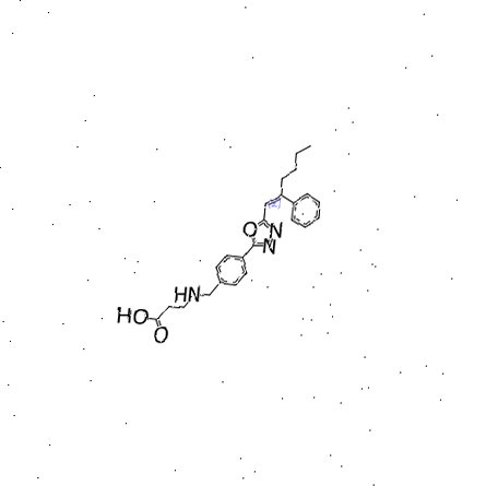 CCCC/C(=C/c1nnc(-c2ccc(CNCCC(=O)O)cc2)o1)c1ccccc1